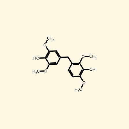 COc1cc(Cc2[c]cc(OC)c(O)c2OC)cc(OC)c1O